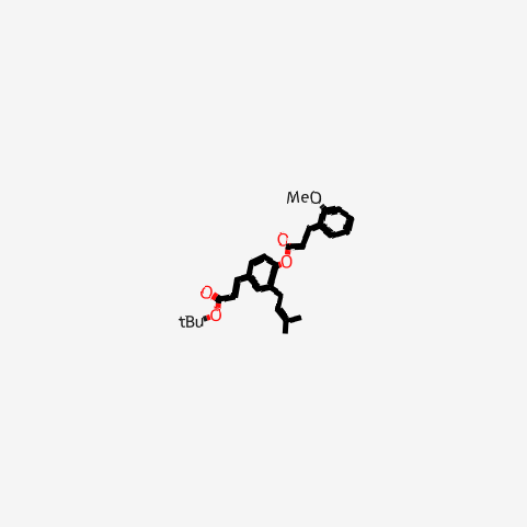 COc1ccccc1CCC(=O)Oc1ccc(/C=C/C(=O)OC(C)(C)C)cc1CC=C(C)C